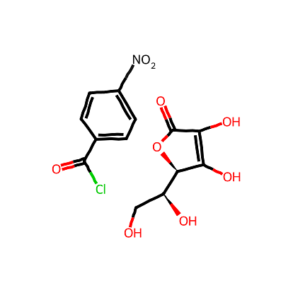 O=C(Cl)c1ccc([N+](=O)[O-])cc1.O=C1O[C@H]([C@@H](O)CO)C(O)=C1O